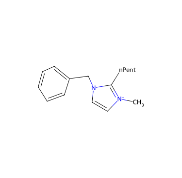 CCCCCc1n(Cc2ccccc2)cc[n+]1C